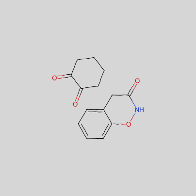 O=C1CCCCC1=O.O=C1Cc2ccccc2ON1